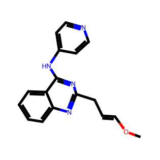 COC=CCc1nc(Nc2ccncc2)c2ccccc2n1